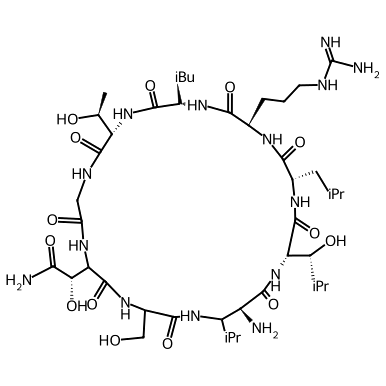 CC[C@H](C)[C@@H]1NC(=O)[C@@H](CCCNC(=N)N)NC(=O)[C@H](CC(C)C)NC(=O)[C@H]([C@H](O)C(C)C)NC(=O)[C@@H](N)C(C(C)C)NC(=O)C(CO)NC(=O)C([C@H](O)C(N)=O)NC(=O)CNC(=O)[C@H]([C@H](C)O)NC1=O